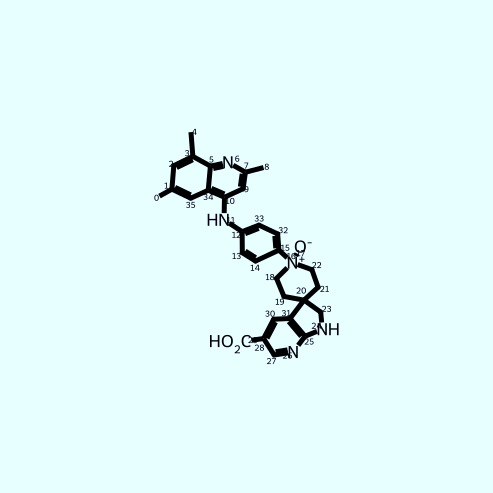 Cc1cc(C)c2nc(C)cc(Nc3ccc([N+]4([O-])CCC5(CC4)CNc4ncc(C(=O)O)cc45)cc3)c2c1